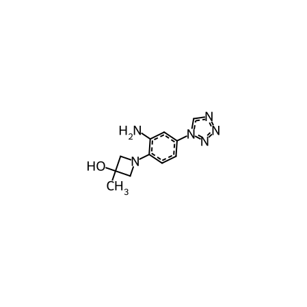 CC1(O)CN(c2ccc(-n3cnnn3)cc2N)C1